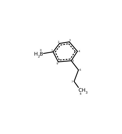 Bc1cccc(CCC)c1